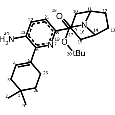 CC1(C)CC=C(c2nc(C3CC4CCC(C3)N4C(=O)OC(C)(C)C)ccc2N)CC1